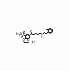 Cl.NS(=O)(=O)c1cc(C(=O)CCCCNCCc2ccccc2Cl)cc2c1OCCO2